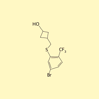 OC1CC(CSc2cc(Br)ccc2C(F)(F)F)C1